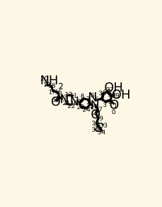 COc1cc(-c2nc3cc(N4CCN(C(=O)CCCCN)CC4)ccc3n2COCCS(C)(C)C)cc(O)c1O